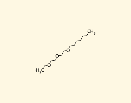 [CH2]COCCOCCOCCCCCCC